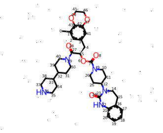 Cc1cc(C[C@@H](OC(=O)N2CCC(N3CCc4ccccc4NC3=O)CC2)C(=O)N2CCC(C3CCNCC3)CC2)cc2c1OCCO2